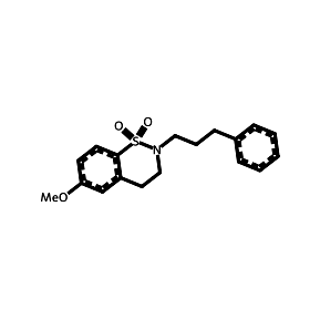 COc1ccc2c(c1)CCN(CCCc1ccccc1)S2(=O)=O